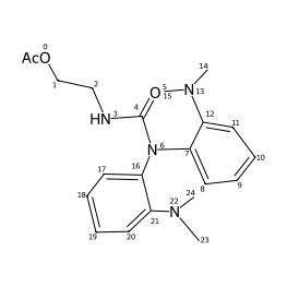 CC(=O)OCCNC(=O)N(c1ccccc1N(C)C)c1ccccc1N(C)C